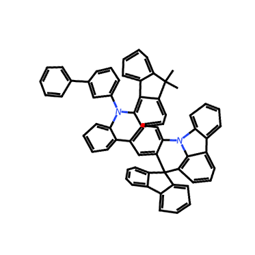 CC1(C)c2ccccc2-c2c(N(c3cccc(-c4ccccc4)c3)c3ccccc3-c3ccc4c(c3)C3(c5ccccc5-c5ccccc53)c3cccc5c6ccccc6n-4c35)cccc21